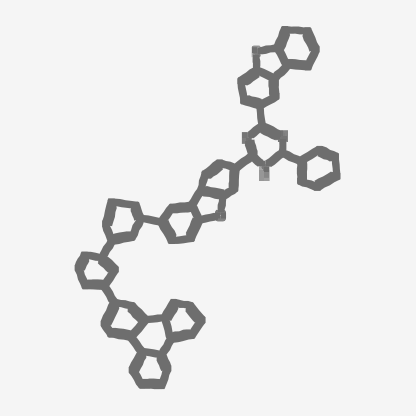 c1ccc(C2N=C(c3ccc4sc5ccccc5c4c3)N=C(c3ccc4c(c3)oc3ccc(-c5cccc(-c6cccc(-c7ccc8c9ccccc9c9ccccc9c8c7)c6)c5)cc34)N2)cc1